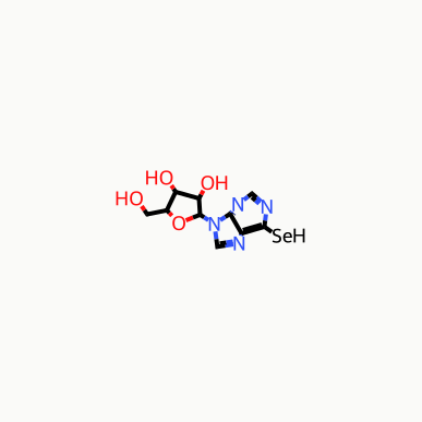 OCC1OC(n2cnc3c([SeH])ncnc32)C(O)C1O